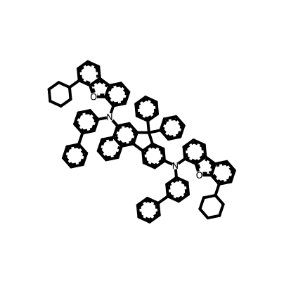 c1ccc(-c2cccc(N(c3ccc4c(c3)C(c3ccccc3)(c3ccccc3)c3cc(N(c5cccc(-c6ccccc6)c5)c5cccc6c5oc5c(C7CCCCC7)cccc56)c5ccccc5c3-4)c3cccc4c3oc3c(C5CCCCC5)cccc34)c2)cc1